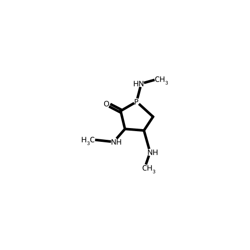 CNC1CP(NC)C(=O)C1NC